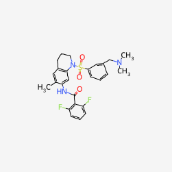 Cc1cc2c(cc1NC(=O)c1c(F)cccc1F)N(S(=O)(=O)c1cccc(CN(C)C)c1)CCC2